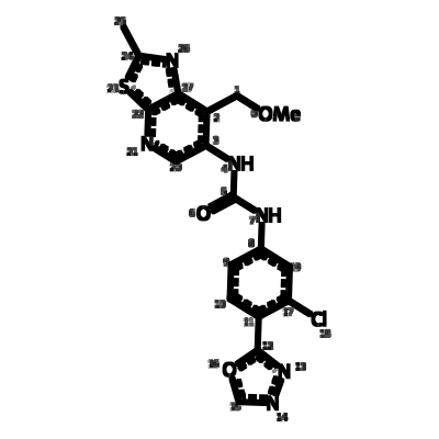 COCc1c(NC(=O)Nc2ccc(-c3nnco3)c(Cl)c2)cnc2sc(C)nc12